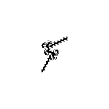 CCCCCCCCCCCCn1c(C(=O)O)c2c(c1-c1sc(-c3c4c(c(C(=O)O)n3CCCCCCCCCCCC)OCCCO4)c3c1OCCO3)OCCCO2